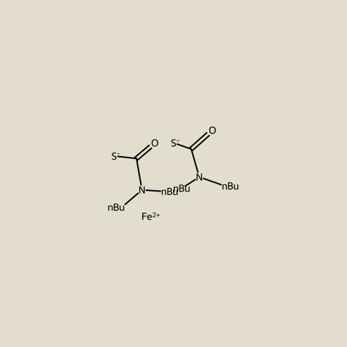 CCCCN(CCCC)C(=O)[S-].CCCCN(CCCC)C(=O)[S-].[Fe+2]